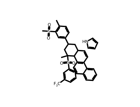 Cc1ccc(C2CC3C=Cc4c(ccc5ccccc45)C3C(C)(S(=O)(=O)c3cccc(C(F)(F)F)c3)C2)cc1S(C)(=O)=O.c1cc[nH]c1